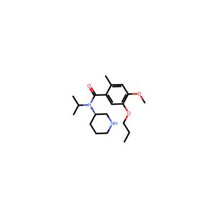 CCCOc1cc(C(=O)N(C(C)C)[C@@H]2CCCNC2)c(C)cc1OC